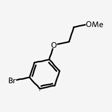 COCCOc1cc[c]c(Br)c1